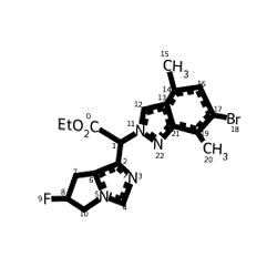 CCOC(=O)C(c1ncn2c1CC(F)C2)n1cc2c(C)cc(Br)c(C)c2n1